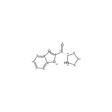 O=C(c1nc2ccccc2o1)[C@@H]1CCCN1